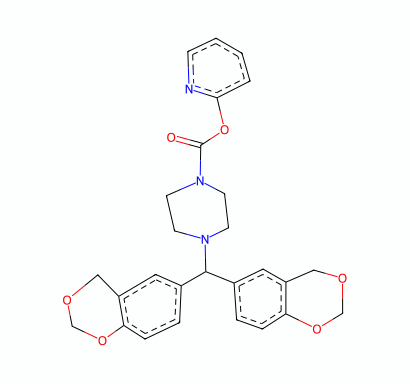 O=C(Oc1ccccn1)N1CCN(C(c2ccc3c(c2)COCO3)c2ccc3c(c2)COCO3)CC1